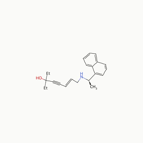 CCC(O)(C#C/C=C/CN[C@H](C)c1cccc2ccccc12)CC